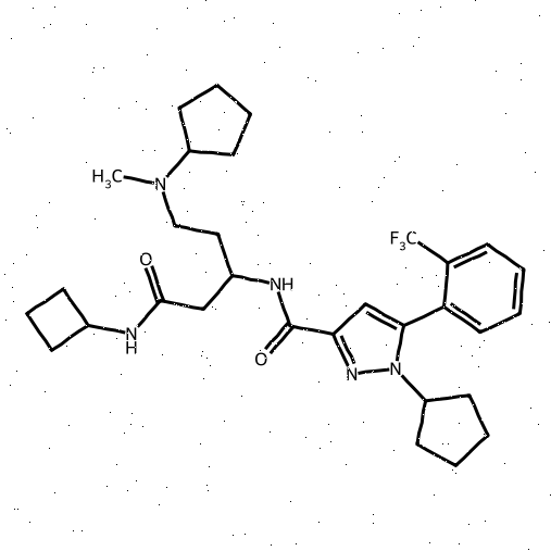 CN(CCC(CC(=O)NC1CCC1)NC(=O)c1cc(-c2ccccc2C(F)(F)F)n(C2CCCC2)n1)C1CCCC1